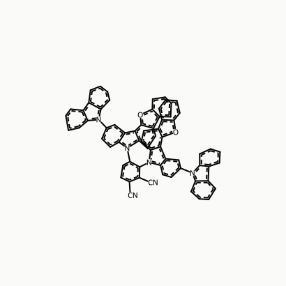 N#Cc1ccc(-n2c3ccc(-n4c5ccccc5c5ccccc54)cc3c3c4oc5ccccc5c4ccc32)c(-n2c3ccc(-n4c5ccccc5c5ccccc54)cc3c3c4oc5ccccc5c4ccc32)c1C#N